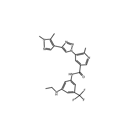 CCNc1cc(NC(=O)c2cnc(C)c(-n3cc(-c4cnn(C)c4C)nn3)c2)cc(C(F)(F)F)c1